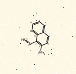 N=Nc1c(N)ccc2ccccc12